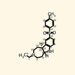 CCN1CC[C@H]2Nc3ccc(S(=O)(=O)c4ccc(C)cc4)cc3[C@@H]2CC1